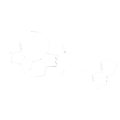 CCC1NN(C)/C2=C/OCCCCn3c(C(=O)O)c(C(C)CCOc4cccc5ccccc45)c4c3=C(C(C)CC=4)C21